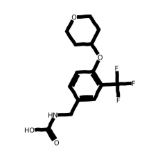 O=C(O)NCc1ccc(OC2CCOCC2)c(C(F)(F)F)c1